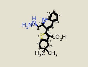 CC1(C)CCc2sc(-c3cc4ccccc4nc3CNN)c(C(=O)O)c2C1